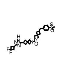 CS(=O)(=O)c1ccc(CC2CC3(C2)CN(C(=O)N2CC4(CC(c5nc(C6CC(F)(F)C6)n[nH]5)C4)C2)C3)cc1